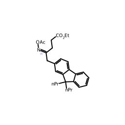 CCCC1(CCC)c2ccccc2-c2ccc(C/C(CCC(=O)OCC)=N/OC(C)=O)cc21